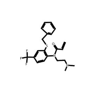 C=CC(=O)N(CCN(C)C)c1ccc(C(F)(F)F)cc1SCc1ccccc1